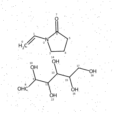 C=CN1CCCC1=O.O=CC(O)C(O)C(O)C(O)CO